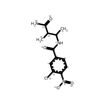 CC(NC(=O)c1ccc([N+](=O)[O-])c(Cl)c1)C(C)C(N)=O